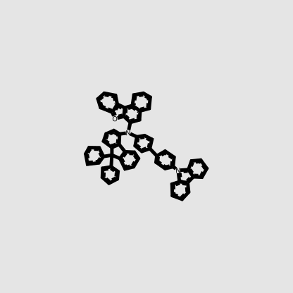 c1ccc(C2(c3ccccc3)c3ccccc3-c3c(N(c4ccc(-c5ccc(-n6c7ccccc7c7ccccc76)cc5)cc4)c4cc5ccccc5c5c4oc4ccccc45)cccc32)cc1